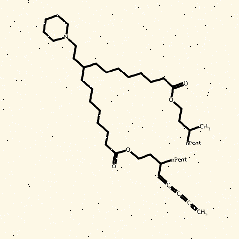 C=C=C=C=CC(CCCCC)CCOC(=O)CCCCCCCC(CCCCCCCC(=O)OCCC(C)CCCCC)CCN1CCCCC1